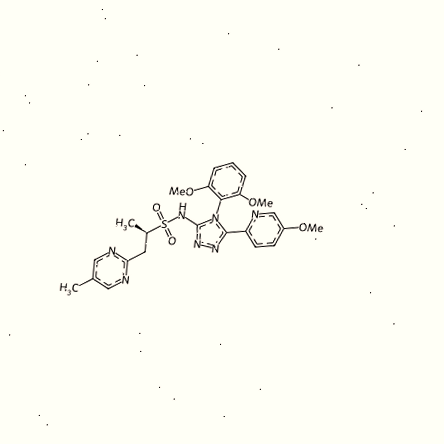 COc1ccc(-c2nnc(NS(=O)(=O)[C@H](C)Cc3ncc(C)cn3)n2-c2c(OC)cccc2OC)nc1